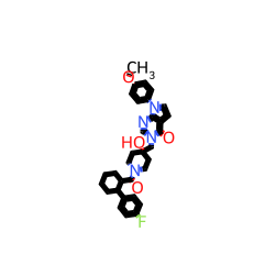 COc1ccc(-n2ccc3c(=O)n(CC4(O)CCN(C(=O)C5CCCCC5c5ccc(F)cc5)CC4)cnc32)cc1